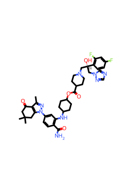 Cc1nn(-c2ccc(C(N)=O)c(NC3CCC(OC(=O)C4CCN(C[C@](O)(Cn5cncn5)c5ccc(F)cc5F)CC4)CC3)c2)c2c1C(=O)CC(C)(C)C2